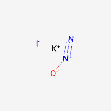 N#[N+][O-].[I-].[K+]